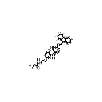 CC(=O)NCCOc1ccc(C[C@H](NC(=O)OCC2c3ccccc3-c3ccccc32)C(=O)O)cn1